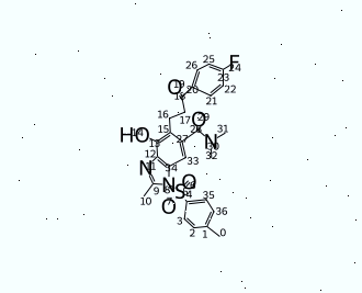 Cc1ccc(S(=O)(=O)n2c(C)nc3c(O)c(CCC(=O)c4ccc(F)cc4)c(C(=O)N(C)C)cc32)cc1